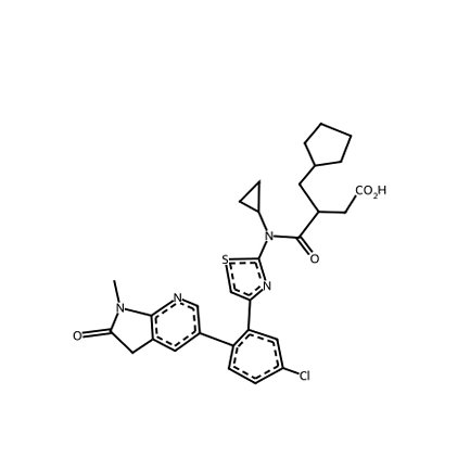 CN1C(=O)Cc2cc(-c3ccc(Cl)cc3-c3csc(N(C(=O)C(CC(=O)O)CC4CCCC4)C4CC4)n3)cnc21